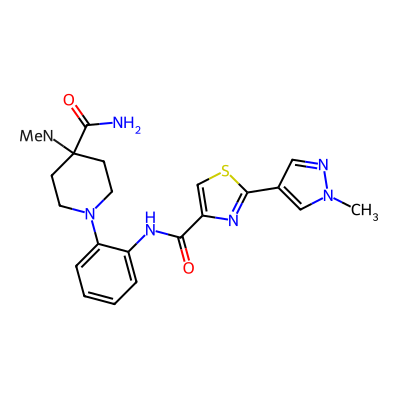 CNC1(C(N)=O)CCN(c2ccccc2NC(=O)c2csc(-c3cnn(C)c3)n2)CC1